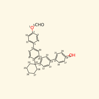 O=COc1ccc(-c2ccc(C3(c4ccc(-c5ccc(O)cc5)cc4)CCCCC3)cc2)cc1